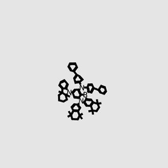 CC1(C)CCC(C)(C)c2cc(N3c4cc5c(cc4B4c6cc(-c7ccccc7)ccc6N(c6ccc(-c7ccccc7)cc6)c6cc(N7c8ccccc8C8(C)CCCCC78C)cc3c64)C(C)(C)CCC5(C)C)ccc21